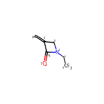 C=C1CN(CC(F)(F)F)C1=O